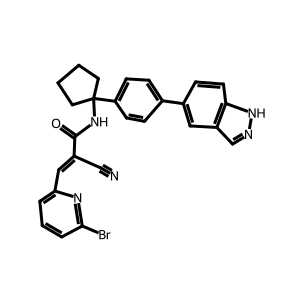 N#CC(=Cc1cccc(Br)n1)C(=O)NC1(c2ccc(-c3ccc4[nH]ncc4c3)cc2)CCCC1